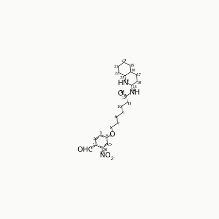 O=Cc1ccc(OCCCCCCC(=O)NC2CCC3CCCCC3N2)cc1[N+](=O)[O-]